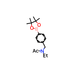 CCN(Cc1ccc(B2OC(C)(C)C(C)(C)O2)cc1)C(C)=O